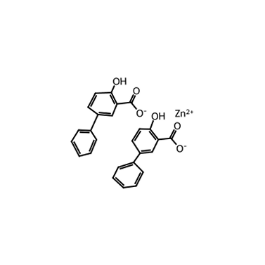 O=C([O-])c1cc(-c2ccccc2)ccc1O.O=C([O-])c1cc(-c2ccccc2)ccc1O.[Zn+2]